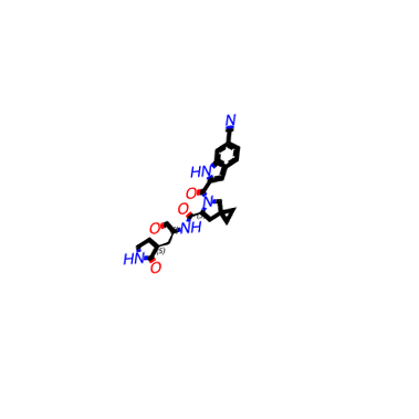 N#Cc1ccc2cc(C(=O)N3CC4(CC4)C[C@H]3C(=O)N[C@H](C=O)C[C@@H]3CCNC3=O)[nH]c2c1